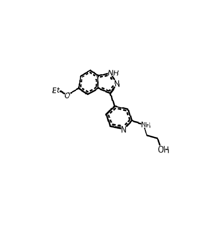 CCOc1ccc2[nH]nc(-c3ccnc(NCCO)c3)c2c1